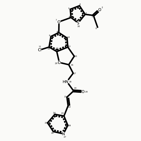 CC(=O)c1ccc(Oc2cc(Cl)c3c(c2)CC(CNC(=O)C=Cc2cccnc2)O3)s1